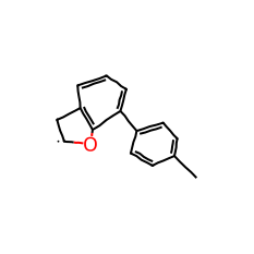 Cc1ccc(-c2cccc3c2O[CH]C3)cc1